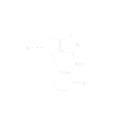 Cc1cc2c(s1)c(I)nn2C(=O)c1c(F)cccc1F